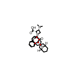 CN(C)[C@@H]1CN(c2nc3ccccc3n([C@H]3C[C@H]4CCC[C@@H](C3)N4C3CC4CCCCC(C4)C3)c2=O)[C@@H]1C(=O)O